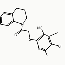 Cc1nc(SCC(=O)N2CCCc3ccccc32)c(C#N)c(C)c1Cl